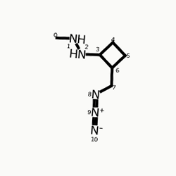 CNNC1CCC1CN=[N+]=[N-]